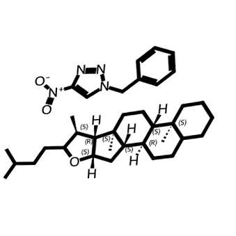 CC(C)CCC1O[C@H]2C[C@H]3[C@@H]4CCC5CCCC[C@]5(C)[C@H]4CC[C@]3(C)[C@H]2[C@@H]1C.O=[N+]([O-])c1cn(Cc2ccccc2)nn1